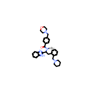 CCCCN(C(=O)c1ccc(CN2CCOCC2)cc1)C(Cc1ccccc1CN1CCCCC1)c1nc2ccccc2[nH]1